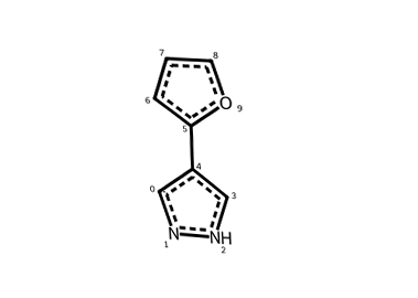 [c]1n[nH]cc1-c1ccco1